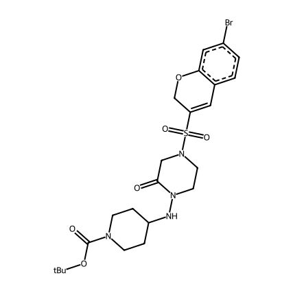 CC(C)(C)OC(=O)N1CCC(NN2CCN(S(=O)(=O)C3=Cc4ccc(Br)cc4OC3)CC2=O)CC1